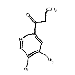 CCC(=O)c1cc(C)c(Br)cn1